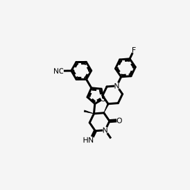 CN1C(=N)C[C@](C)(c2cc(-c3cccc(C#N)c3)cs2)[C@@H](C2CCN(c3ccc(F)cc3)CC2)C1=O